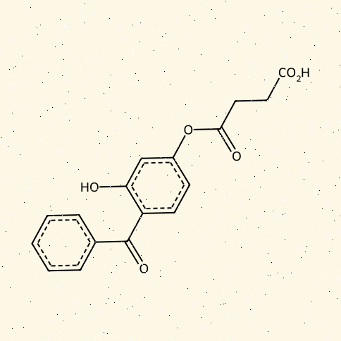 O=C(O)CCC(=O)Oc1ccc(C(=O)c2ccccc2)c(O)c1